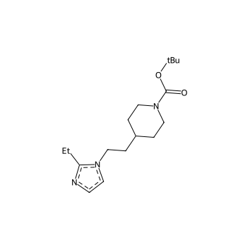 CCc1nccn1CCC1CCN(C(=O)OC(C)(C)C)CC1